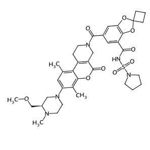 COC[C@H]1CN(c2cc(C)c3c4c(c(=O)oc3c2C)CN(C(=O)c2cc3c(c(C(=O)NS(=O)(=O)N5CCCC5)c2)OC2(CCC2)O3)CC4)CCN1C